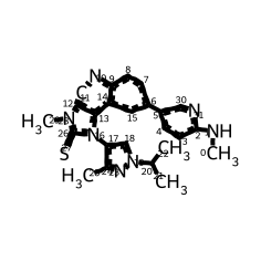 CNc1ccc(-c2ccc3ncc4c(c3c2)n(-c2cn(C(C)C)nc2C)c(=S)n4C)cn1